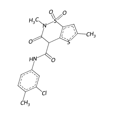 Cc1cc2c(s1)C(C(=O)Nc1ccc(C)c(Cl)c1)C(=O)N(C)S2(=O)=O